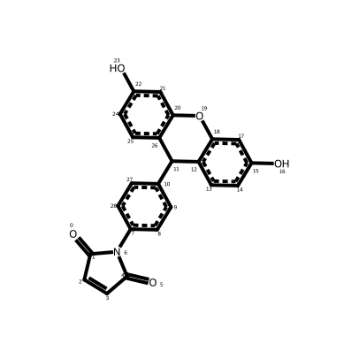 O=C1C=CC(=O)N1c1ccc(C2c3ccc(O)cc3Oc3cc(O)ccc32)cc1